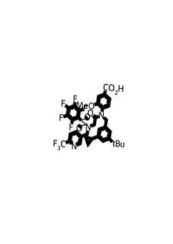 COc1cc(C(=O)O)ccc1N(Cc1cc(C2CC2)cc(C(C)(C)C)c1)C(=O)CN(Cc1ccc(C(F)(F)F)nc1)S(=O)(=O)c1c(F)c(F)c(F)c(F)c1F